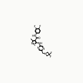 Cc1nsc(Nc2cnc(CN3CC(F)(F)C3)cn2)c1C(=O)Nc1ccc(F)c(F)c1